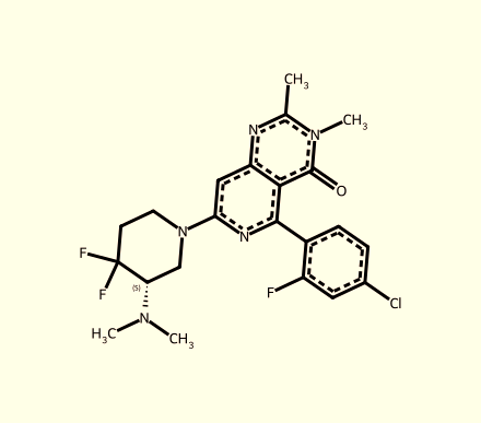 Cc1nc2cc(N3CCC(F)(F)[C@@H](N(C)C)C3)nc(-c3ccc(Cl)cc3F)c2c(=O)n1C